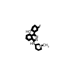 CN1CCC[C@@H](Nc2nnc(-c3cc(F)ccc3O)c3ccccc23)C1